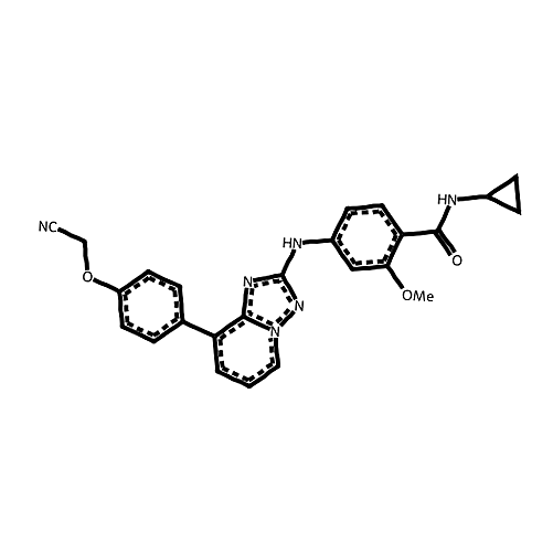 COc1cc(Nc2nc3c(-c4ccc(OCC#N)cc4)cccn3n2)ccc1C(=O)NC1CC1